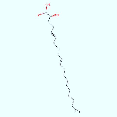 CCCCCC=CCCC=CC=CCC=CCC[C@H](O)C(=O)O